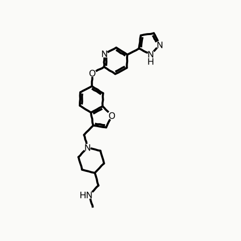 CNCC1CCN(Cc2coc3cc(Oc4ccc(-c5ccn[nH]5)cn4)ccc23)CC1